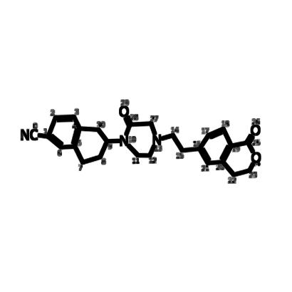 N#Cc1ccc2c(c1)CCC(N1CCN(CCc3ccc4c(c3)CCOC4=O)CC1=O)C2